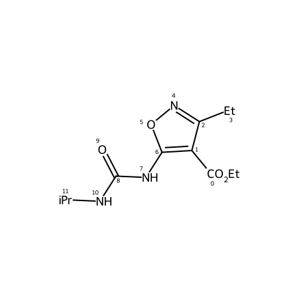 CCOC(=O)c1c(CC)noc1NC(=O)NC(C)C